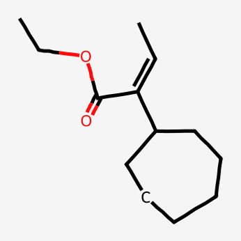 CC=C(C(=O)OCC)C1CCCCCC1